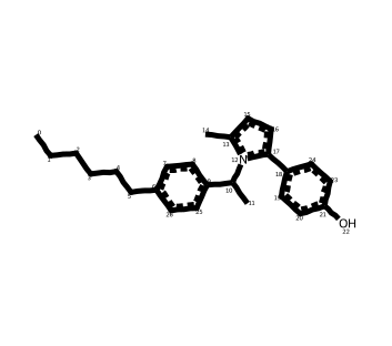 CCCCCCc1ccc(C(C)n2c(C)ccc2-c2ccc(O)cc2)cc1